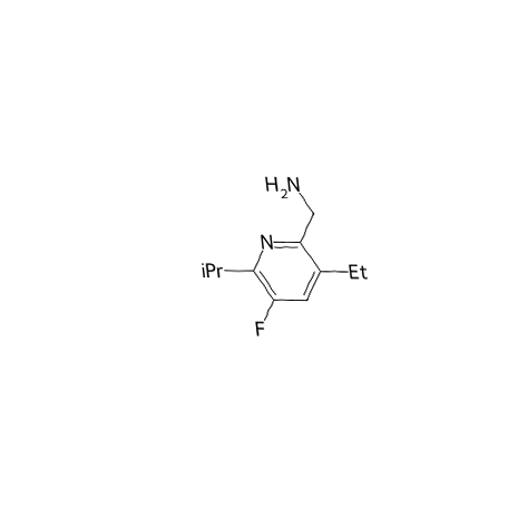 CCc1cc(F)c(C(C)C)nc1CN